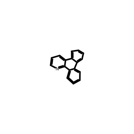 C1=C=c2c(c3ccccc3c3cccnc23)=CC=1